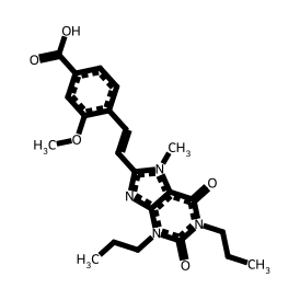 CCCn1c(=O)c2c(nc(C=Cc3ccc(C(=O)O)cc3OC)n2C)n(CCC)c1=O